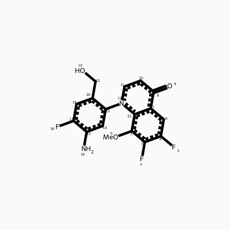 COc1c(F)c(F)cc2c(=O)ccn(-c3cc(N)c(F)cc3CO)c12